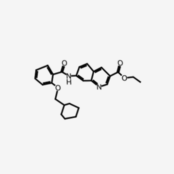 CCOC(=O)c1cnc2cc(NC(=O)c3ccccc3OCC3CCCCC3)ccc2c1